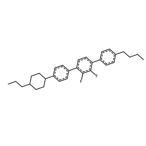 CCCCc1ccc(-c2ccc(-c3ccc(C4CCC(CCC)CC4)cc3)c(F)c2F)cc1